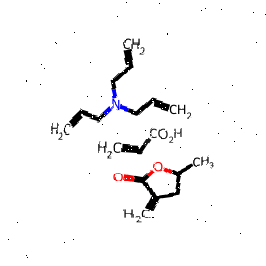 C=C1CC(C)OC1=O.C=CC(=O)O.C=CCN(CC=C)CC=C